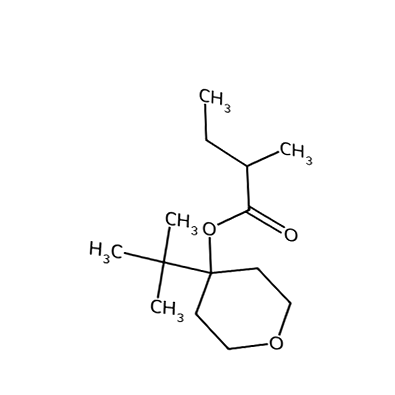 CCC(C)C(=O)OC1(C(C)(C)C)CCOCC1